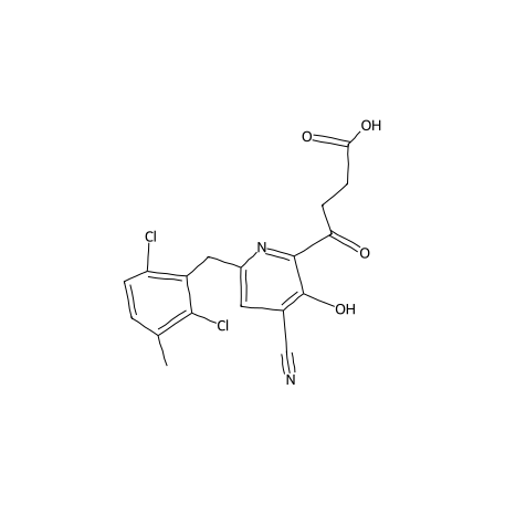 Cc1ccc(Cl)c(Cc2cc(C#N)c(O)c(C(=O)CCC(=O)O)n2)c1Cl